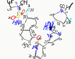 Cc1ccc2c(NS(=O)(=O)N(C)CC(F)(F)F)c(F)ccc2c1Oc1ncccc1-c1ccnc(N[C@H]2C[C@H](F)CN(C(=O)O)C2)n1